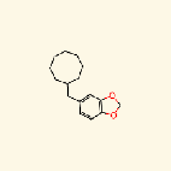 c1cc2c(cc1C[C]1CCCCCCC1)OCO2